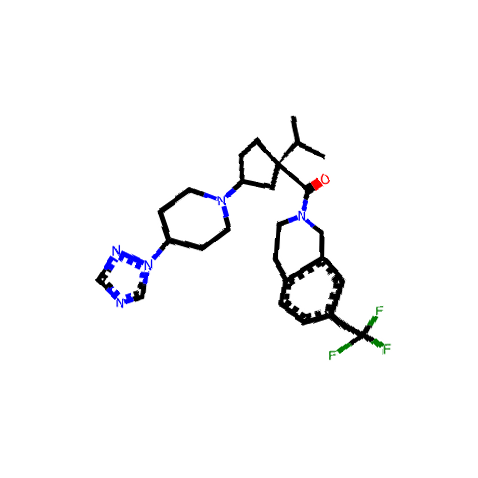 CC(C)[C@]1(C(=O)N2CCc3ccc(C(F)(F)F)cc3C2)CCC(N2CCC(n3cncn3)CC2)C1